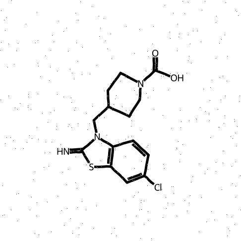 N=c1sc2cc(Cl)ccc2n1CC1CCN(C(=O)O)CC1